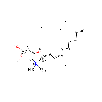 CCCCCC/C=C\C=COC(CC(=O)[O-])C[N+](C)(C)C